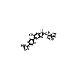 Clc1cc2[nH]c(O[C@@H]3CO[C@@H]4CCO[C@@H]43)nc2nc1-c1ccc(-c2nnn[nH]2)cc1